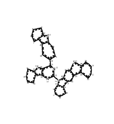 c1ccc2c(c1)sc1ccc(-c3nc(-n4c5ccccc5c5cc6c(cc54)sc4ccccc46)nc4c3sc3ccccc34)cc12